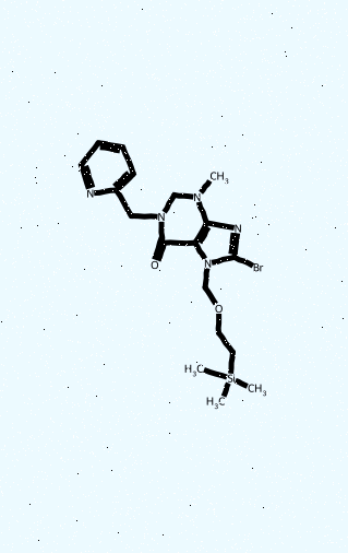 CN1CN(Cc2ccccn2)C(=O)c2c1nc(Br)n2COCC[Si](C)(C)C